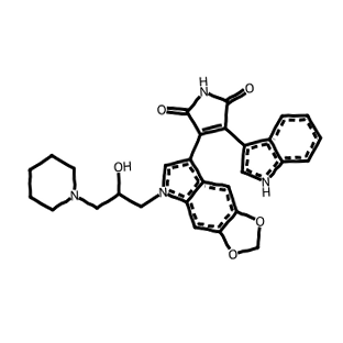 O=C1NC(=O)C(c2cn(CC(O)CN3CCCCC3)c3cc4c(cc23)OCO4)=C1c1c[nH]c2ccccc12